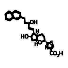 O=C(O)c1csc([C@H]2CC[C@@H]3[C@@H](/C=C/C(O)CCc4ccc5ccccc5c4)[C@H](O)C[C@@H]3O2)n1